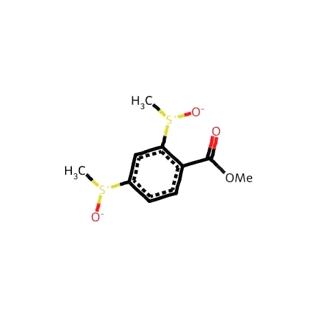 COC(=O)c1ccc([S+](C)[O-])cc1[S+](C)[O-]